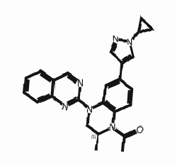 CC(=O)N1c2ccc(-c3cnn(C4CC4)c3)cc2N(c2ncc3ccccc3n2)C[C@@H]1C